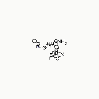 CC1(C)CC(=O)c2c(C(F)(F)F)nn(-c3ccc(C(N)=O)c(NC4CCC(OC/C=N\Oc5ccccc5)CC4)c3)c2C1